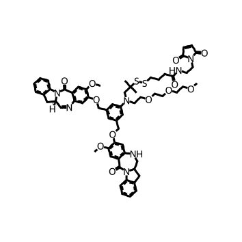 COCCOCCOCCN(CC(C)(C)SSCCCC(=O)NCCN1C(=O)C=CC1=O)c1cc(COc2cc3c(cc2OC)C(=O)N2c4ccccc4C[C@H]2C=N3)cc(COc2cc3c(cc2OC)C(=O)N2c4ccccc4CC2CN3)c1